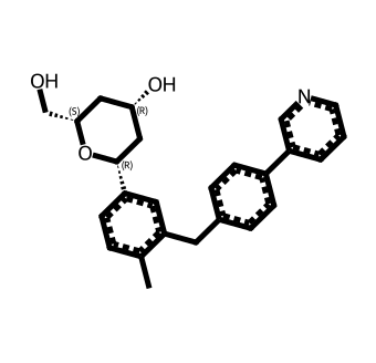 Cc1ccc([C@H]2C[C@@H](O)C[C@@H](CO)O2)cc1Cc1ccc(-c2cccnc2)cc1